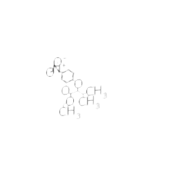 CCOC(=O)C(Oc1ccc([N+](=O)[O-])cc1)C(C)C